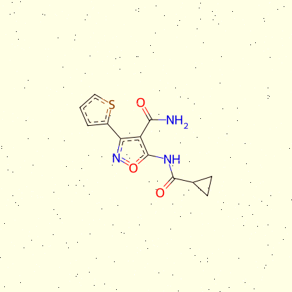 NC(=O)c1c(-c2cccs2)noc1NC(=O)C1CC1